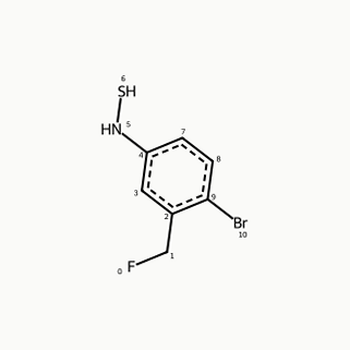 FCc1cc(NS)ccc1Br